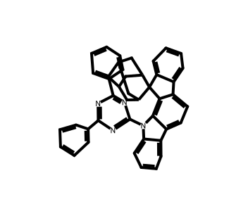 c1ccc(-c2nc(-c3ccccc3)nc(-n3c4ccccc4c4ccc5c(c43)C3(c4ccccc4-5)C4CC5CC(C4)CC3C5)n2)cc1